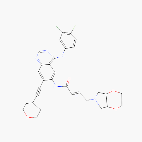 O=C(/C=C/CN1CC2OCCOC2C1)Nc1cc2c(Nc3ccc(F)c(Cl)c3)ncnc2cc1C#CC1CCOCC1